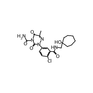 Cc1nn(-c2ccc(Cl)c(C(=O)NCC3(O)CCCCCC3)c2)c(=O)n(C(N)=O)c1=O